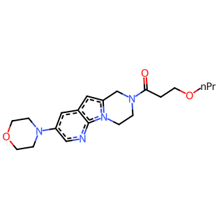 CCCOCCC(=O)N1CCn2c(cc3cc(N4CCOCC4)cnc32)C1